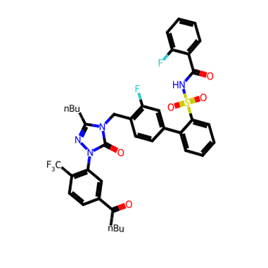 CCCCC(=O)c1ccc(C(F)(F)F)c(-n2nc(CCCC)n(Cc3ccc(-c4ccccc4S(=O)(=O)NC(=O)c4ccccc4F)cc3F)c2=O)c1